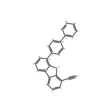 N#Cc1cccc2c1sc1c(-c3ccc(-c4cccnc4)cc3)cccc12